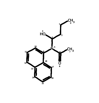 CCCC(O)N(C(C)=O)c1cccc2ccccc12